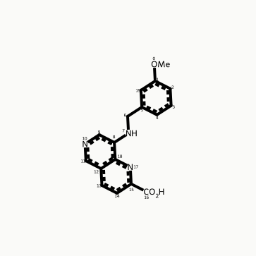 COc1cccc(CNc2cncc3ccc(C(=O)O)nc23)c1